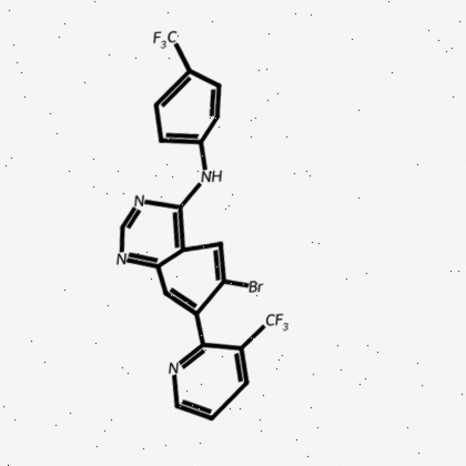 FC(F)(F)c1ccc(Nc2ncnc3cc(-c4ncccc4C(F)(F)F)c(Br)cc23)cc1